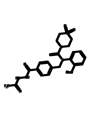 COc1ccccc1N(Cc1ccc(C(=O)NNC(=O)C(F)(F)F)cc1)C(=O)N1CCS(=O)(=O)CC1